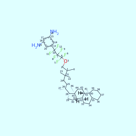 CC(COC(F)(F)C(F)(F)C(F)(F)c1cc(N)cc(N)c1)C(C)(C)CC[C@@H](C)[C@H]1CC[C@H]2[C@@H]3CCC4CCCC[C@]4(C)[C@H]3CC[C@]12C